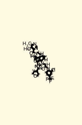 Cc1ncnc(C(=O)N2CC[C@@]3(c4c(n(CC(=O)Nc5ccc(C(F)(F)F)cc5Cl)c5nc(C6=CCOCC6)nn5c4=O)[C@@H]4C[C@@H]43)[C@@H]3C[C@@H]32)c1O